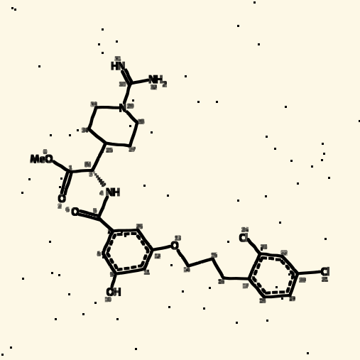 COC(=O)[C@@H](NC(=O)c1cc(O)cc(OCCCc2ccc(Cl)cc2Cl)c1)C1CCN(C(=N)N)CC1